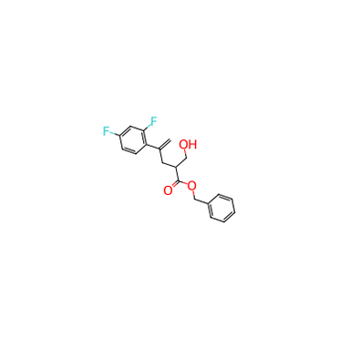 C=C(CC(CO)C(=O)OCc1ccccc1)c1ccc(F)cc1F